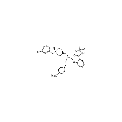 COc1ccc(CO[C@H](COc2ccccc2C(=O)NS(C)(=O)=O)CN2CCC3(CC2)Cc2cc(Cl)ccc2O3)cc1